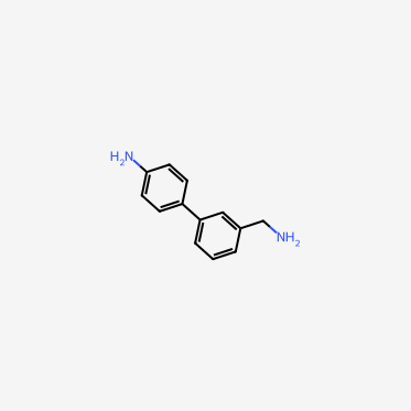 NCc1cccc(-c2ccc(N)cc2)c1